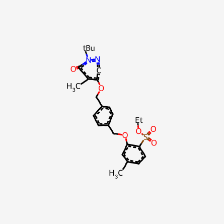 CCOS(=O)(=O)c1ccc(C)cc1OCc1ccc(COc2cnn(C(C)(C)C)c(=O)c2C)cc1